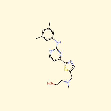 Cc1cc(C)cc(Nc2nccc(-c3ncc(CN(C)CCO)s3)n2)c1